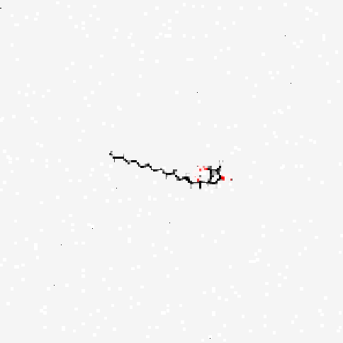 CCCCCCCCCCCCC=CC1(C)OOC2CC1CC(=O)C2C